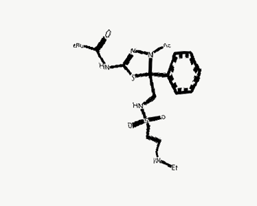 CCNCCS(=O)(=O)NCC1(c2ccccc2)SC(NC(=O)C(C)(C)C)=NN1C(C)=O